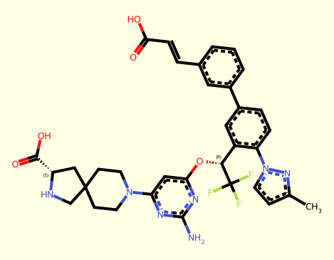 Cc1ccn(-c2ccc(-c3cccc(C=CC(=O)O)c3)cc2[C@@H](Oc2cc(N3CCC4(CC3)CN[C@H](C(=O)O)C4)nc(N)n2)C(F)(F)F)n1